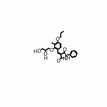 CCCOc1ccc(C=C2C(=O)NN(c3ccccc3)C2=O)c(OC[C@@H](O)CO)c1C